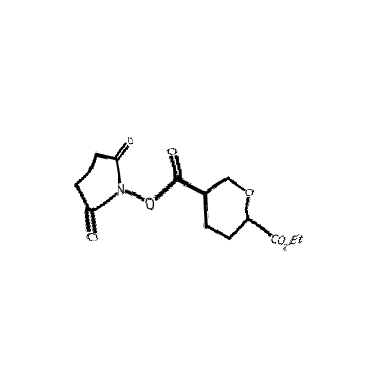 CCOC(=O)C1CCC(C(=O)ON2C(=O)CCC2=O)CO1